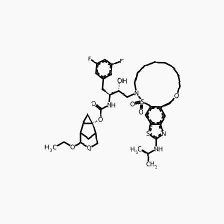 CCOC1OCC2CC1C1C[C@@]21OC(=O)N[C@@H](Cc1cc(F)cc(F)c1)[C@H](O)CN1CCCCCCCCOCc2cc3nc(NC(C)C)sc3cc2S1(=O)=O